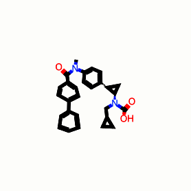 CN(C(=O)c1ccc(-c2ccccc2)cc1)c1ccc([C@@H]2C[C@H]2N(CC2CC2)C(=O)O)cc1